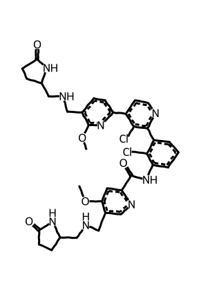 COc1cc(C(=O)Nc2cccc(-c3nccc(-c4ccc(CNCC5CCC(=O)N5)c(OC)n4)c3Cl)c2Cl)ncc1CNCC1CCC(=O)N1